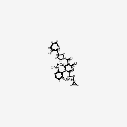 COc1cccc(OC)c1-n1c(CCC2CC2)nc(=O)c(C(=O)N2CCC(c3ncccc3F)C2)c1O